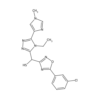 CCn1c(-c2cn(C)cn2)nnc1C(S)c1noc(-c2cccc(Cl)c2)n1